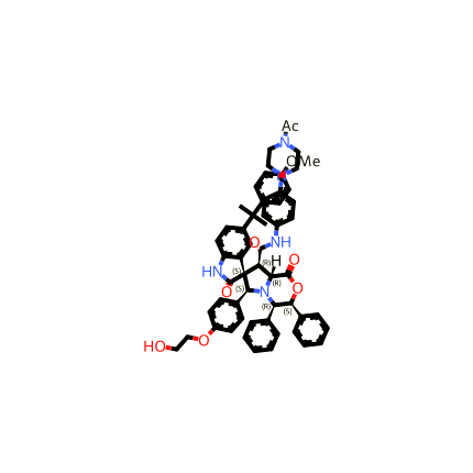 COc1ccc(C(C)(C)c2ccc3c(c2)[C@]2(C(=O)N3)[C@H](c3ccc(OCCO)cc3)N3[C@H](c4ccccc4)[C@H](c4ccccc4)OC(=O)[C@H]3[C@@H]2C(=O)Nc2ccc(N3CCN(C(C)=O)CC3)cc2)cc1